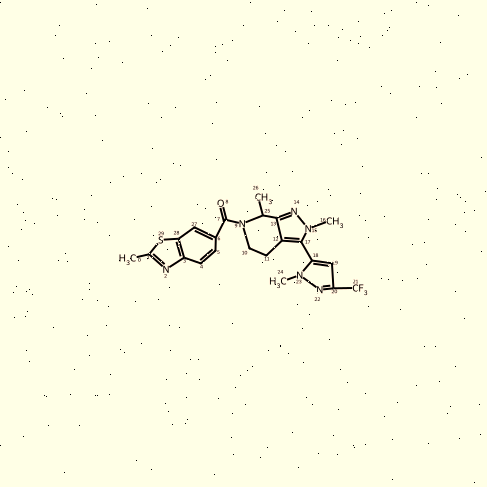 Cc1nc2ccc(C(=O)N3CCc4c(nn(C)c4-c4cc(C(F)(F)F)nn4C)C3C)cc2s1